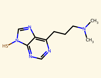 CN(C)CCCc1ncnc2c1ncn2S